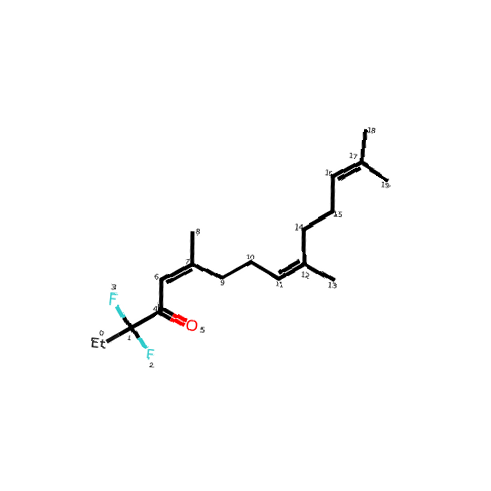 CCC(F)(F)C(=O)C=C(C)CCC=C(C)CCC=C(C)C